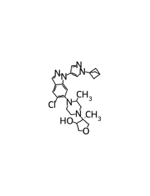 CC1CN([C@@]2(C)COCC2O)CCN1c1cc2c(cnn2-c2cnn(C34CC(C3)C4)c2)cc1Cl